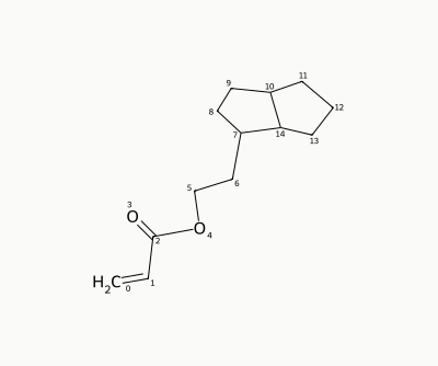 C=CC(=O)OCCC1CCC2CCCC21